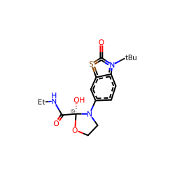 CCNC(=O)[C@]1(O)OCCN1c1ccc2c(c1)sc(=O)n2C(C)(C)C